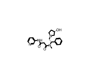 CN(C(=O)CC(=O)Nc1cccnc1)[C@H](CN1CC[C@H](O)C1)c1ccccc1